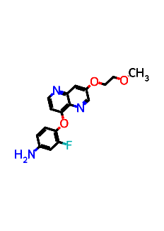 COCCOc1cnc2c(Oc3ccc(N)cc3F)ccnc2c1